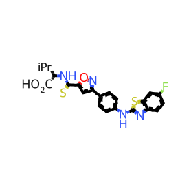 CC(C)C(NC(=S)c1cc(-c2ccc(Nc3nc4ccc(F)cc4s3)cc2)no1)C(=O)O